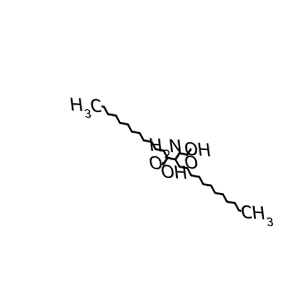 CCCCCCCCCCCCC(C(=O)O)C(CCCCCCCCCCCC)C(N)C(=O)O